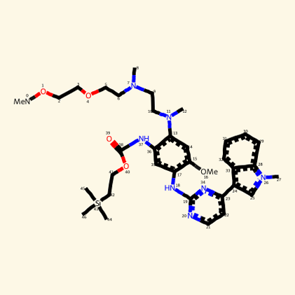 CNOCCOCCN(C)CCN(C)c1cc(OC)c(Nc2nccc(-c3cn(C)c4ccccc34)n2)cc1NC(=O)OCC[Si](C)(C)C